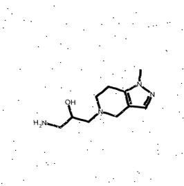 Cn1ncc2c1CCN(CC(O)CN)C2